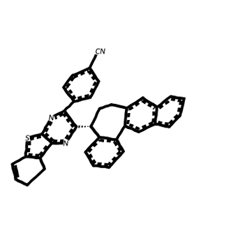 N#Cc1ccc(-c2nc3sc4c(c3nc2[C@@H]2CCc3cc5ccccc5cc3-c3ccccc32)CCC=C4)cc1